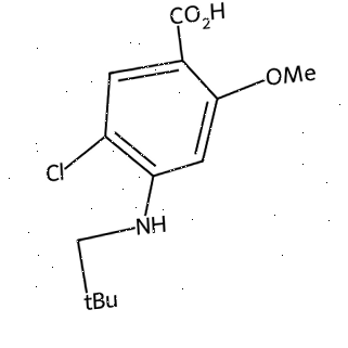 COc1cc(NCC(C)(C)C)c(Cl)cc1C(=O)O